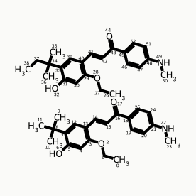 CCOc1cc(O)c(C(C)(C)C)cc1C=CC(=O)c1ccc(NC)cc1.CCOc1cc(O)c(C(C)(C)CC)cc1C=CC(=O)c1ccc(NC)cc1